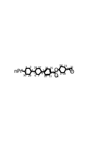 CCCC1CCC(C2CCC(c3ccc(C(=O)OC4CCC(C5CO5)CC4)cc3)CC2)CC1